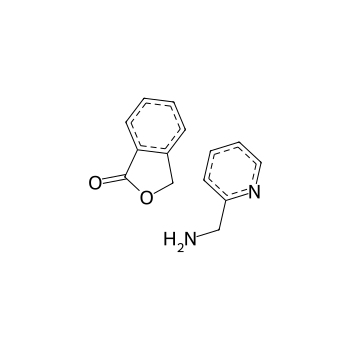 NCc1ccccn1.O=C1OCc2ccccc21